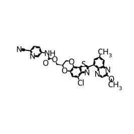 COc1cnc2c(-c3nc4c(Cl)cc5c(c4s3)OC[C@H](COC(=O)Nc3ccc(C#N)nc3)O5)cc(C)cc2n1